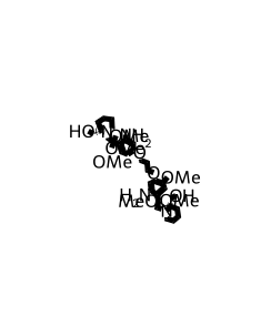 COc1cc(C(CN2CCCC[C@H]2CO)(OC)OC)c(N)cc1OCCCOc1cc(N)c(C(CN2CCCC[C@H]2CO)(OC)OC)cc1OC